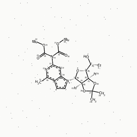 CC[C@@H](O)[C@H]1O[C@@H](n2ccc3c(C)nc(N(C(=O)OC(C)(C)C)C(=O)OC(C)(C)C)nc32)[C@@H]2OC(C)(C)O[C@@H]21